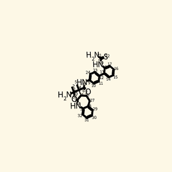 CC(C)(N)C(C)(C(=O)Nc1ccc(-c2ccccc2NC(N)=S)cc1)[C@H]1CCc2ccccc2NC1=O